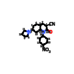 N#Cc1cc2ccc(-n3cccc3)cc2n(-c2ccc([N+](=O)[O-])cc2)c1=O